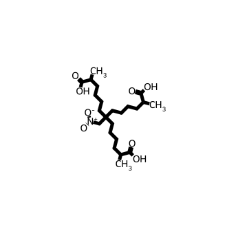 CC(CCCCC(CCCCC(C)C(=O)O)(CCCCC(C)C(=O)O)C[N+](=O)[O-])C(=O)O